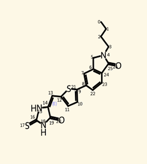 CCCCN1Cc2cc(-c3ccc(/C=C4/NC(=S)NC4=O)s3)ccc2C1=O